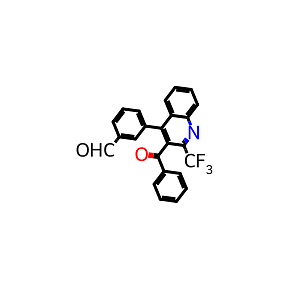 O=Cc1cccc(-c2c(C(=O)c3ccccc3)c(C(F)(F)F)nc3ccccc23)c1